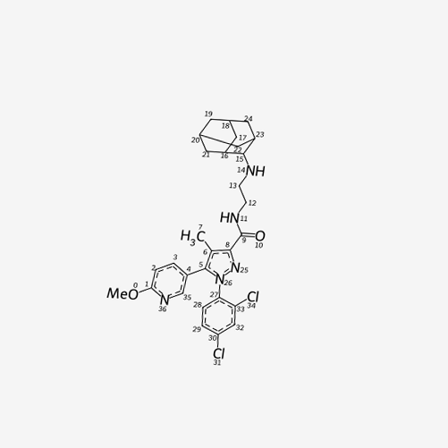 COc1ccc(-c2c(C)c(C(=O)NCCNC3C4CC5CC(C4)CC3C5)nn2-c2ccc(Cl)cc2Cl)cn1